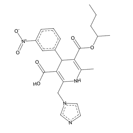 CCCC(C)OC(=O)C1=C(C)NC(Cn2ccnc2)=C(C(=O)O)C1c1cccc([N+](=O)[O-])c1